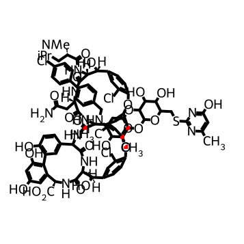 CN[C@@H](CC(C)C)C(=O)N[C@H]1C(=O)N[C@@H](CC(N)=O)C(=O)N[C@H]2C(=O)N[C@H]3C(=O)N[C@H](C(=O)N[C@@H](C(=O)O)c4cc(O)cc(O)c4-c4cc3ccc4O)[C@H](O)c3ccc(c(Cl)c3)Oc3cc2cc(c3OC2OC(CSc3nc(C)cc(O)n3)C(O)C(O)C2OC2CC(C)(NCc3ccc(-c4ccc(Cl)cc4)cc3)C(O)C(C)O2)Oc2ccc(cc2Cl)[C@H]1O